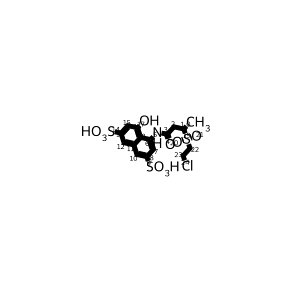 CC(CC(=O)Nc1cc(S(=O)(=O)O)cc2cc(S(=O)(=O)O)cc(O)c12)S(=O)(=O)CCCl